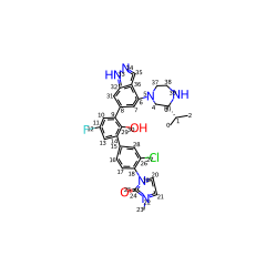 CC(C)[C@@H]1CN(c2cc(-c3cc(F)cc(-c4ccc(-n5ccn(C)c5=O)c(Cl)c4)c3O)cc3[nH]ncc23)CCN1